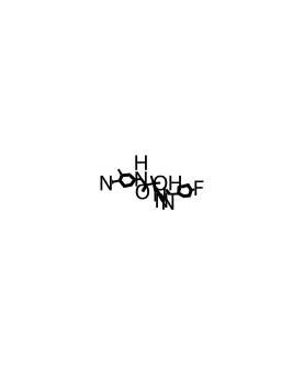 Cc1cc(NC(=O)C(C)(O)Cn2cc(-c3ccc(F)cc3)nn2)ccc1C#N